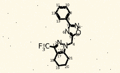 FC(F)(F)c1nn(Cc2nc(-c3ccccc3)no2)c2c1CCCC2